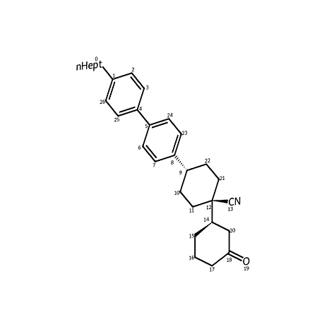 CCCCCCCc1ccc(-c2ccc([C@H]3CC[C@@](C#N)([C@@H]4CCCC(=O)C4)CC3)cc2)cc1